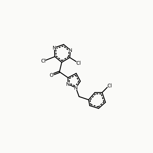 O=C(c1ccn(Cc2cccc(Cl)c2)n1)c1c(Cl)ncnc1Cl